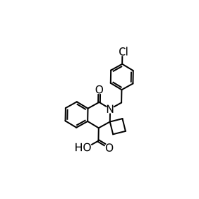 O=C(O)C1c2ccccc2C(=O)N(Cc2ccc(Cl)cc2)C12CCC2